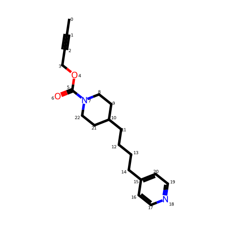 CC#CCOC(=O)N1CCC(CCCCc2ccncc2)CC1